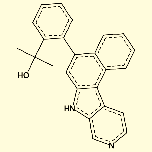 CC(C)(O)c1ccccc1-c1cc2[nH]c3cnccc3c2c2ccccc12